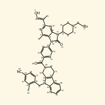 CC(=NO)c1nc(C)c2c(n1)n(C1CCN(CC(C)(C)C)CC1)c(=O)n2-c1ccc(C(=O)N2CCc3c(n(Cc4ccc(C#N)cc4F)c4ncccc34)C2)nc1